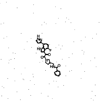 O=C(NC[C@H]1CCN(C(=O)C(=O)c2c[nH]c3c(-c4cc[nH]n4)ccc(F)c23)C1)c1ccccc1